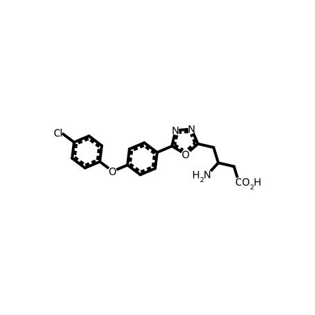 NC(CC(=O)O)Cc1nnc(-c2ccc(Oc3ccc(Cl)cc3)cc2)o1